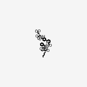 CCCCC[C@@H](C(=O)NCNC(=O)c1cccc(-c2ccc(C(=O)N[C@@H](CCC(=O)OC)C(=O)OC)cc2)n1)[C@@H](CC)N(C=O)OCc1ccccc1